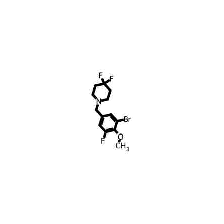 COc1c(F)cc(CN2CCC(F)(F)CC2)cc1Br